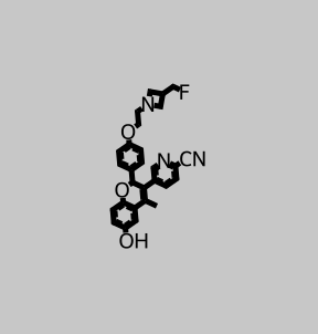 CC1=C(c2ccc(C#N)nc2)C(c2ccc(OCCN3CC(CF)C3)cc2)Oc2ccc(O)cc21